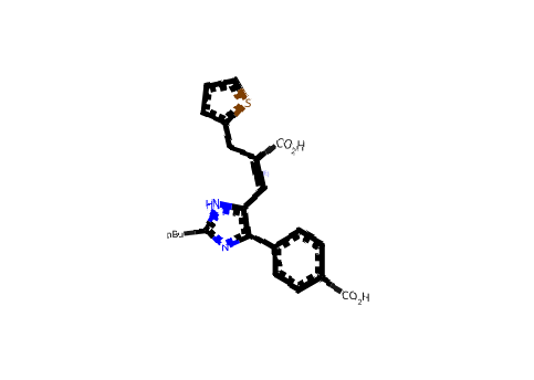 CCCCc1nc(-c2ccc(C(=O)O)cc2)c(/C=C(\Cc2cccs2)C(=O)O)[nH]1